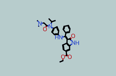 CCOC(=O)c1ccc2c(c1)NC(=O)C2=C(Nc1ccc(N(C(=O)CN(C)C)C(C)C)cc1)c1ccccc1